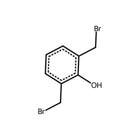 Oc1c(CBr)cccc1CBr